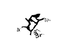 Cc1cc2c(c(C)c1C)C=C[CH]2[Ti+3].[Br-].[Br-].[Br-]